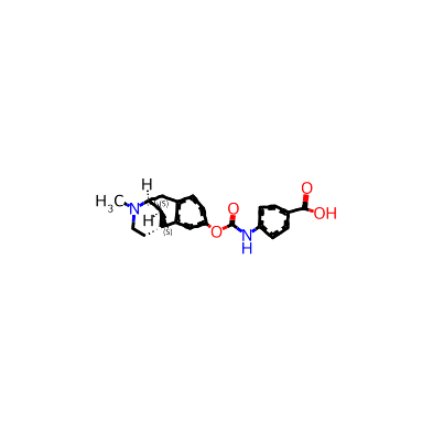 CN1CC[C@@]23CCCC[C@@H]2[C@@H]1Cc1ccc(OC(=O)Nc2ccc(C(=O)O)cc2)cc13